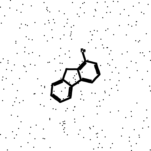 [Fe][c]1cccc2c1Cc1ccccc1-2